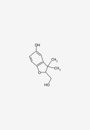 CC1(C)c2cc(O)ccc2OC1CO